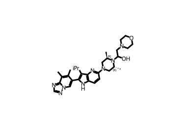 Cc1c(-c2[nH]c3ccc(N4C[C@@H](C)N(C(O)CN5CCOCC5)[C@H](C)C4)nc3c2C(C)C)cn2ncnc2c1C